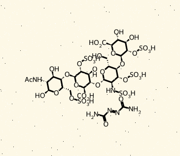 CC(=O)N[C@@H]1[C@@H](O)[C@H](O[C@@H]2O[C@H](C(=O)O)[C@@H](O[C@@H]3O[C@H](CO)[C@@H](O[C@H]4O[C@@H](C(=O)O)[C@H](O)[C@@H](O)[C@@H]4OS(=O)(=O)O)[C@H](OS(=O)(=O)O)[C@H]3NS(=O)(=O)O)[C@H](O)[C@H]2OS(=O)(=O)O)[C@H](COS(=O)(=O)O)O[C@H]1O.NC(=O)/N=N/C(N)=O